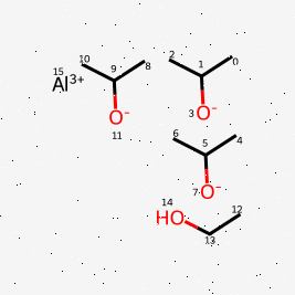 CC(C)[O-].CC(C)[O-].CC(C)[O-].CCO.[Al+3]